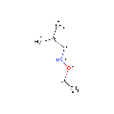 C[CH]ONCC(C)C